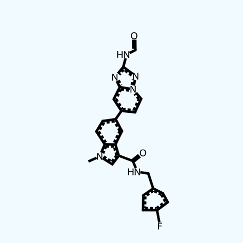 Cn1cc(C(=O)NCc2ccc(F)cc2)c2cc(-c3ccn4nc(NC=O)nc4c3)ccc21